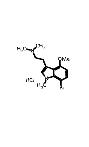 COc1ccc(Br)c2c1c(CCN(C)C)cn2C.Cl